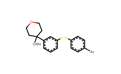 COC1(c2cccc(Sc3ccc(C(C)=O)cc3)c2)CCOCC1